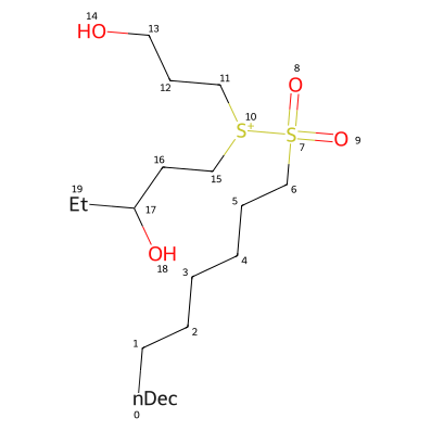 CCCCCCCCCCCCCCCCS(=O)(=O)[S+](CCCO)CCC(O)CC